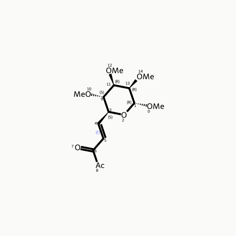 CO[C@@H]1O[C@@H](/C=C/C(=O)C(C)=O)[C@H](OC)[C@@H](OC)[C@H]1OC